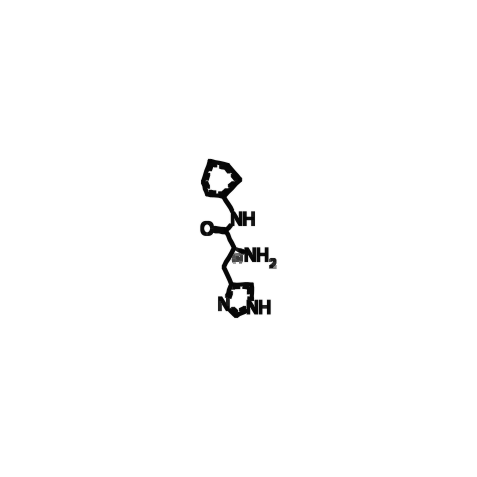 N[C@@H](Cc1c[nH]cn1)C(=O)Nc1ccccc1